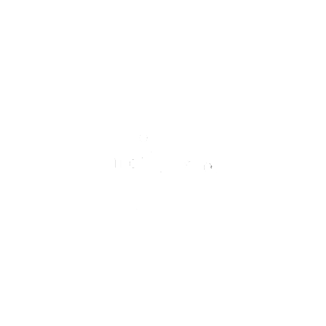 CC(=O)C1(C2(CC=O)c3ccccc3-c3ccccc32)c2ccccc2-c2ccccc21